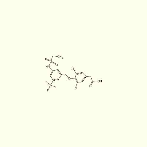 CCS(=O)(=O)Nc1cc(COc2c(Cl)cc(CC(=O)O)cc2Cl)cc(C(F)(F)F)c1